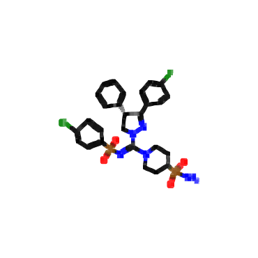 NS(=O)(=O)C1CCN(/C(=N/S(=O)(=O)c2ccc(Cl)cc2)N2C[C@H](c3ccccc3)C(c3ccc(F)cc3)=N2)CC1